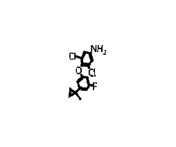 CC1(c2cc(F)cc(Oc3c(Cl)cc(N)cc3Cl)c2)CC1